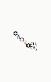 Cc1ccc(COC2CCC(N=Cc3ccccc3)CC2)cc1C